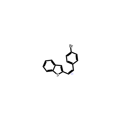 Brc1ccc(/C=C\c2cc3ccccc3s2)cc1